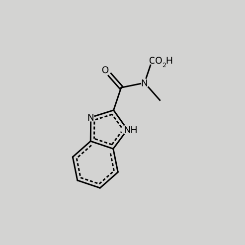 CN(C(=O)O)C(=O)c1nc2ccccc2[nH]1